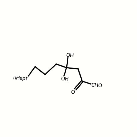 CCCCCCCCCCC(O)(O)CC(=O)C=O